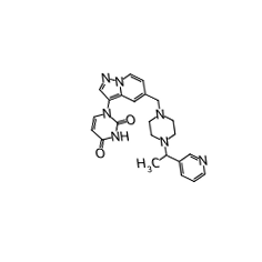 CC(c1cccnc1)N1CCN(Cc2ccn3ncc(-n4ccc(=O)[nH]c4=O)c3c2)CC1